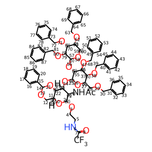 CC(=O)N[C@H]1[C@H](OCCNC(=O)C(F)(F)F)O[C@@H]2COC(c3ccccc3)O[C@H]2[C@@H]1O[C@@H]1O[C@H](COCc2ccccc2)[C@H](OCc2ccccc2)[C@H](OCc2ccccc2)[C@H]1O[C@@H]1O[C@@H](C)[C@@H](OCc2ccccc2)[C@@H](OCc2ccccc2)[C@@H]1OCc1ccccc1